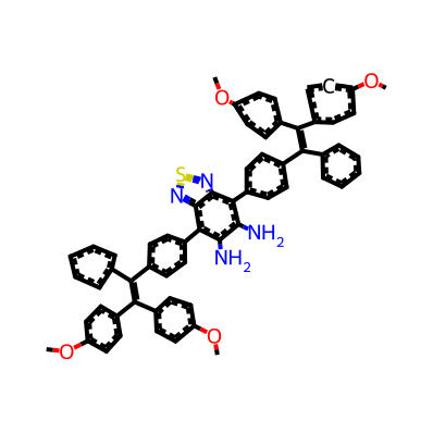 COc1ccc(C(=C(c2ccccc2)c2ccc(-c3c(N)c(N)c(-c4ccc(C(=C(c5ccc(OC)cc5)c5ccc(OC)cc5)c5ccccc5)cc4)c4nsnc34)cc2)c2ccc(OC)cc2)cc1